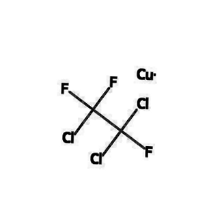 FC(F)(Cl)C(F)(Cl)Cl.[Cu]